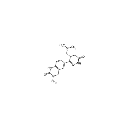 CN(C)CC1CC(=O)NN=C1c1ccc2c(c1)CN(C)C(=O)N2